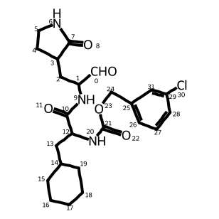 O=CC(CC1CCNC1=O)NC(=O)C(CC1CCCCC1)NC(=O)OCc1cccc(Cl)c1